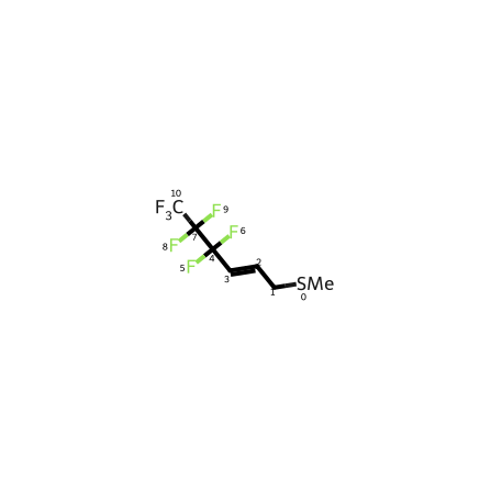 CSCC=CC(F)(F)C(F)(F)C(F)(F)F